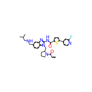 C=CC(=O)N1CCCC1Cn1c(NC(=O)c2ccc(-c3ccnc(F)c3)s2)nc2cc(CNCC(C)C)ccc21